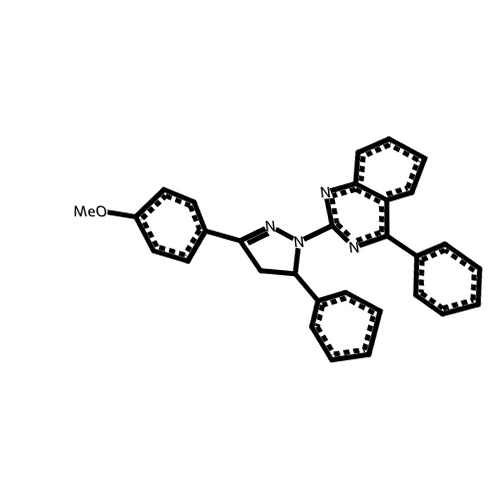 COc1ccc(C2=NN(c3nc(-c4ccccc4)c4ccccc4n3)C(c3ccccc3)C2)cc1